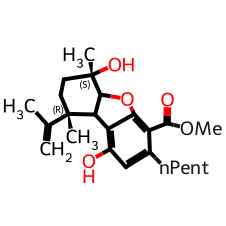 C=C(C)[C@]1(C)CC[C@](C)(O)C2Oc3c(C(=O)OC)c(CCCCC)cc(O)c3C21